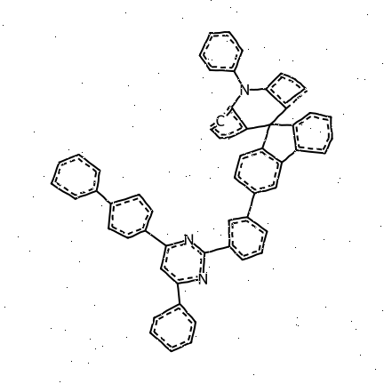 c1ccc(-c2ccc(-c3cc(-c4ccccc4)nc(-c4cccc(-c5ccc6c(c5)-c5ccccc5C65c6ccccc6N(c6ccccc6)c6ccccc65)c4)n3)cc2)cc1